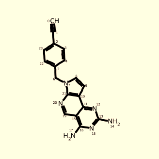 C#Cc1ccc(Cn2ccc3c4nc(N)nc(N)c4cnc32)cc1